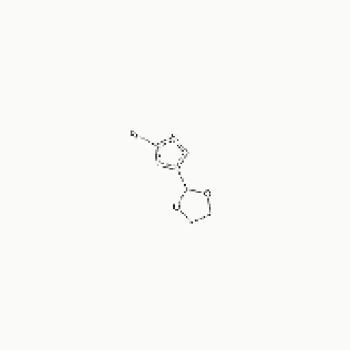 Brc1cc(C2OCCO2)cs1